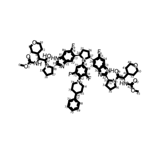 COC(=O)N[C@@H](C1CCOCC1)C(O)N1CCC[C@H]1c1nc2cc([C@H]3CC[C@H](c4cc5nc([C@@H]6CCCN6C(=O)[C@@H](NC(=O)OC)C6CCOCC6)[nH]c5cc4F)N3c3cc(F)c(N4CCC(c5ccccc5)CC4)c(F)c3)c(F)cc2[nH]1